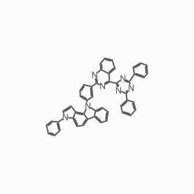 c1ccc(-c2nc(-c3ccccc3)nc(-c3nc(-c4cccc(-n5c6ccccc6c6ccc7c(ccn7-c7ccccc7)c65)c4)nc4ccccc34)n2)cc1